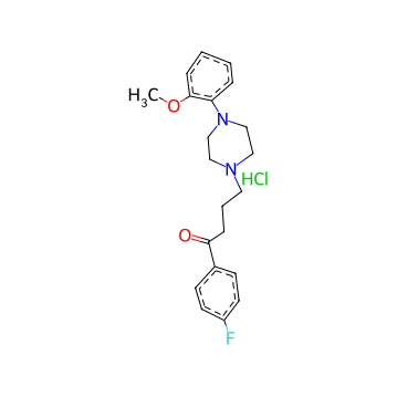 COc1ccccc1N1CCN(CCCC(=O)c2ccc(F)cc2)CC1.Cl